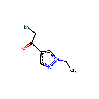 O=C(CBr)c1cnn(CC(F)(F)F)c1